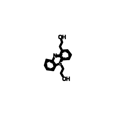 OCCc1cccc2c1=Nc1ccccc1S=2CCO